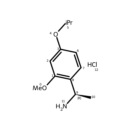 COc1cc(OC(C)C)ccc1[C@@H](C)N.Cl